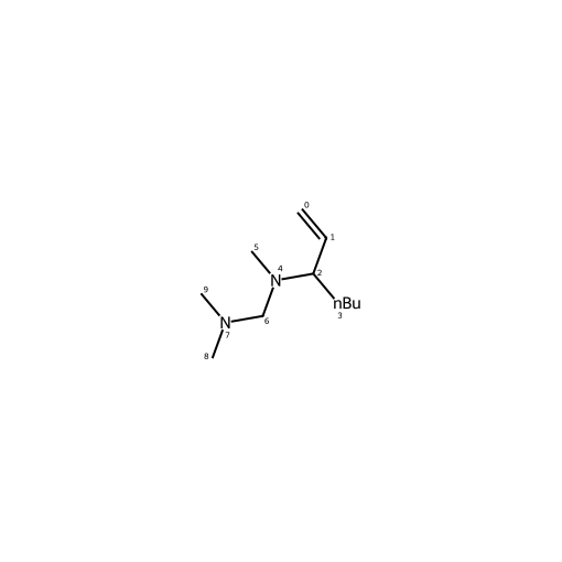 C=CC(CCCC)N(C)CN(C)C